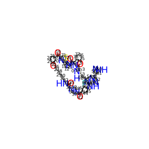 CN[C@@H](C)C(=O)N[C@H](C(=O)N1CCC[C@H]1c1nc(C(=O)c2cccc(OCCCCCCCNC(=O)CN3CCN(C(=O)c4ccc(Nc5nc(C6CC6)cn6c(-c7cn[nH]c7)cnc56)c(F)c4)CC3)c2)cs1)C1CCCCC1